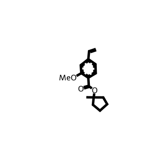 C=Cc1ccc(C(=O)OC2(C)CCCC2)c(OC)c1